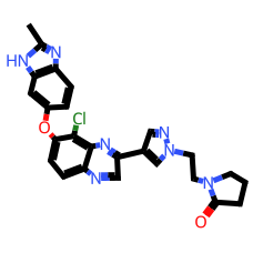 Cc1nc2ccc(Oc3ccc4ncc(-c5cnn(CCN6CCCC6=O)c5)nc4c3Cl)cc2[nH]1